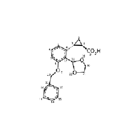 O=C(O)[C@@H]1C[C@H]1c1cccc(OCc2ccccc2)c1C1OCCO1